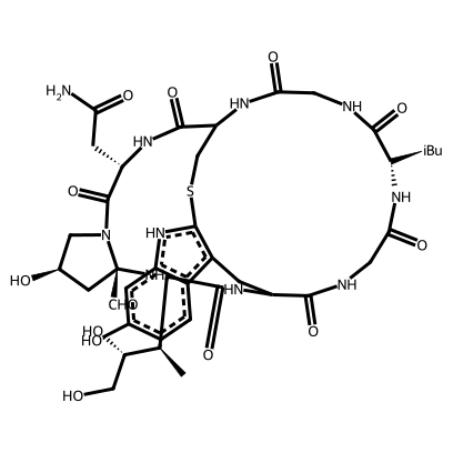 CC[C@H](C)[C@@H]1NC(=O)CNC(=O)C2Cc3c([nH]c4cc(O)ccc34)SCC(NC(=O)CNC1=O)C(=O)N[C@@H](CC(N)=O)C(=O)N1C[C@H](O)C[C@@]1(C=O)N[C@@H]([C@@H](C)[C@@H](O)CO)C(=O)N2